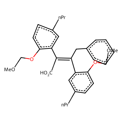 CCCc1ccc(OCOC)c(C(Cc2ccccc2)=C(C(=O)O)c2cc(CCC)ccc2OCOC)c1